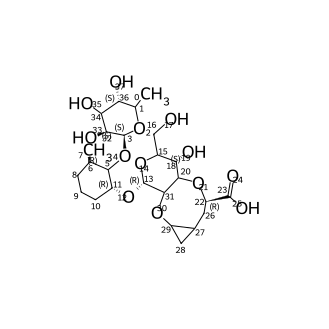 CC1O[C@@H](OC2[C@H](C)CCC[C@H]2O[C@@H]2OC(CO)[C@H](O)C3O[C@@H](C(=O)O)CC4CC4OC32)[C@@H](O)C(O)[C@@H]1O